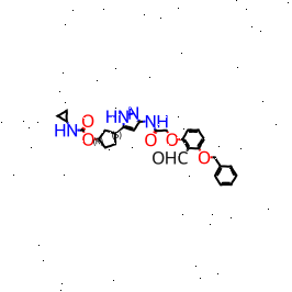 O=Cc1c(OCC(=O)Nc2cc([C@H]3CC[C@@H](OC(=O)NC4CC4)C3)[nH]n2)cccc1OCc1ccccc1